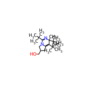 CC(C)(C)C1=NC(C)(C(C)(C)C)C(C(C)(C)C)=C2CC(CO)CN12